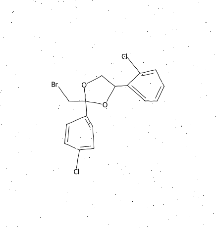 Clc1ccc(C2(CBr)OCC(c3ccccc3Cl)O2)cc1